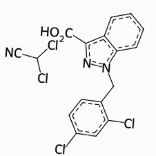 N#CC(Cl)Cl.O=C(O)c1nn(Cc2ccc(Cl)cc2Cl)c2ccccc12